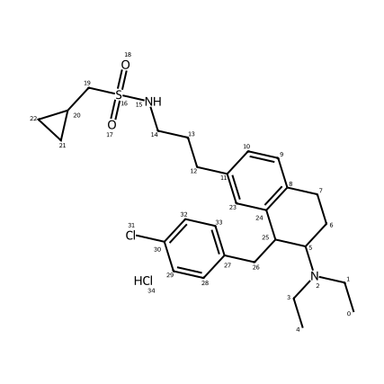 CCN(CC)C1CCc2ccc(CCCNS(=O)(=O)CC3CC3)cc2C1Cc1ccc(Cl)cc1.Cl